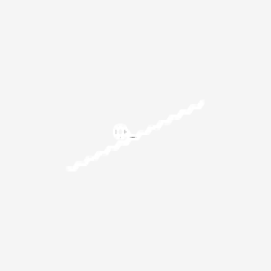 CCCCCCCCCCCCCC=C(C=O)CCCCCCCCCCCC